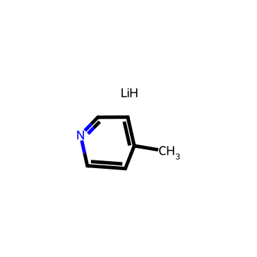 Cc1ccncc1.[LiH]